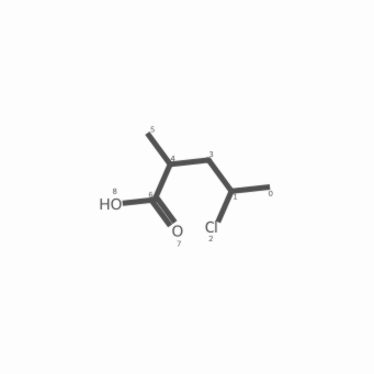 CC(Cl)CC(C)C(=O)O